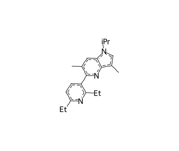 CCc1ccc(-c2nc3c(C)cn(C(C)C)c3cc2C)c(CC)n1